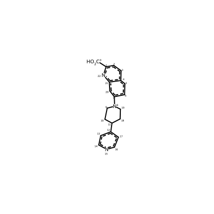 O=C(O)c1ccc2ccc(N3CCC(c4ccncc4)CC3)cc2n1